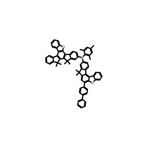 Cc1cc(C)c(N(c2ccc3c(c2)C(C)(C)c2cc(-c4ccc(-c5ccccc5)cc4)c4oc5ccccc5c4c2-3)c2ccc3c(c2)C(C)(C)c2c4c(c5c(oc6ccccc65)c2-3)-c2ccccc2C4(C)C)c(C)c1